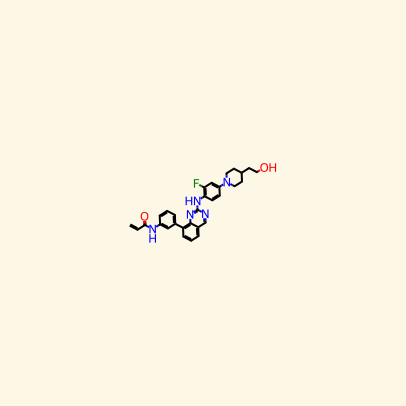 C=CC(=O)Nc1cccc(-c2cccc3cnc(Nc4ccc(N5CCC(CCO)CC5)cc4F)nc23)c1